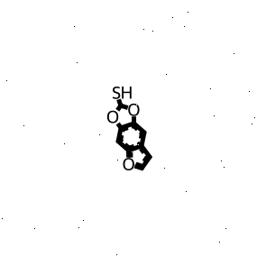 SC1Oc2cc3ccoc3cc2O1